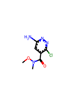 CON(C)C(=O)c1cc(N)nnc1Cl